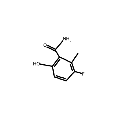 Cc1c(F)ccc(O)c1C(N)=O